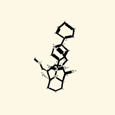 C#CCN1C[C@H](COC)[C@@H]2CCCC(C1=O)N2S(=O)(=O)c1ccc(-c2ccccc2)nc1